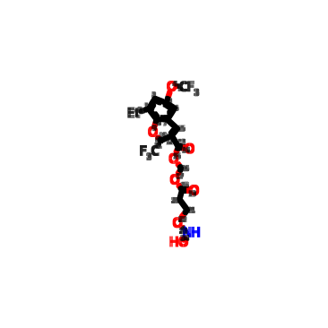 CCc1cc(OC(F)(F)F)cc2c1O[C@H](C(F)(F)F)C(C(=O)OCOC(=O)CCONO)=C2